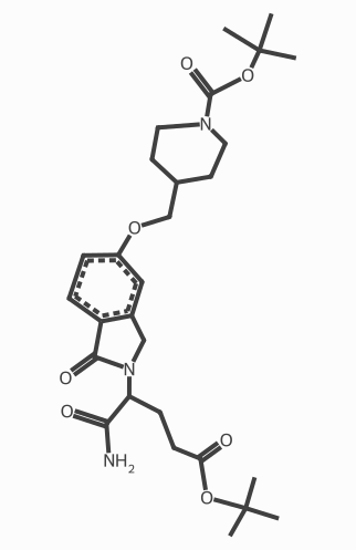 CC(C)(C)OC(=O)CCC(C(N)=O)N1Cc2cc(OCC3CCN(C(=O)OC(C)(C)C)CC3)ccc2C1=O